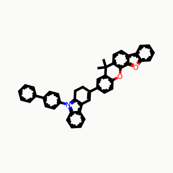 CC1(C)c2cc(C3=Cc4c(n(-c5ccc(-c6ccccc6)cc5)c5ccccc45)CC3)ccc2Oc2c1ccc1c2oc2ccccc21